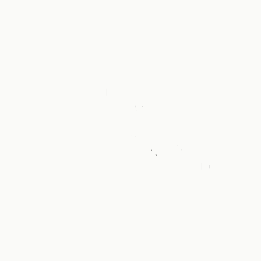 CCSNC(=O)c1ccccc1O